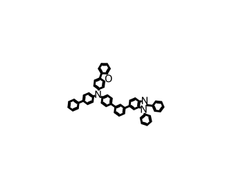 c1ccc(-c2ccc(N(c3ccc(-c4cccc(-c5ccc6nc(-c7ccccc7)n(-c7ccccc7)c6c5)c4)cc3)c3ccc4c(c3)oc3ccccc34)cc2)cc1